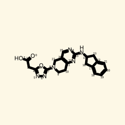 O=C(O)Cc1nnc(N2CCc3nc(NC4Cc5ccccc5C4)ncc3C2)o1